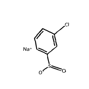 O=S([O-])c1cccc(Cl)c1.[Na+]